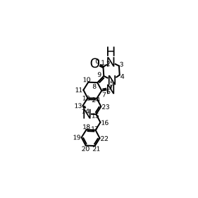 O=C1NCCn2nc3c(c21)CCc1cnc(Cc2ccccc2)cc1-3